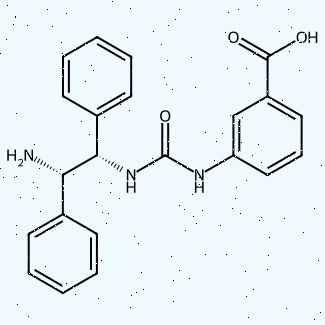 N[C@@H](c1ccccc1)[C@@H](NC(=O)Nc1cccc(C(=O)O)c1)c1ccccc1